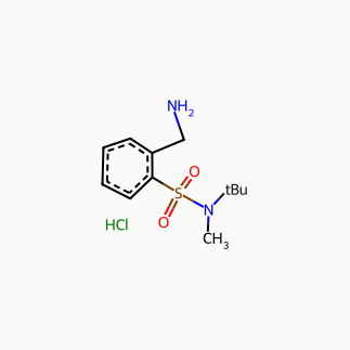 CN(C(C)(C)C)S(=O)(=O)c1ccccc1CN.Cl